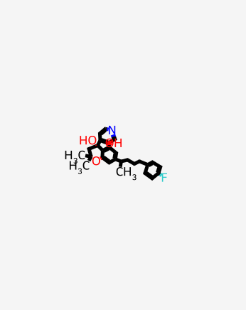 CC(CCCc1ccc(F)cc1)c1cc(O)c2c(c1)OC(C)(C)CC2(O)c1ccncc1